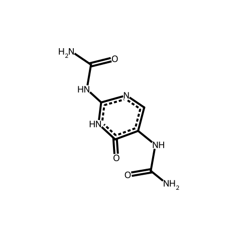 NC(=O)Nc1ncc(NC(N)=O)c(=O)[nH]1